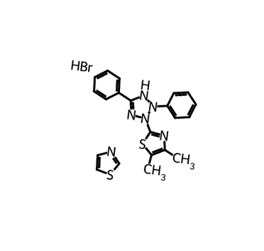 Br.Cc1nc(N2N=C(c3ccccc3)NN2c2ccccc2)sc1C.c1cscn1